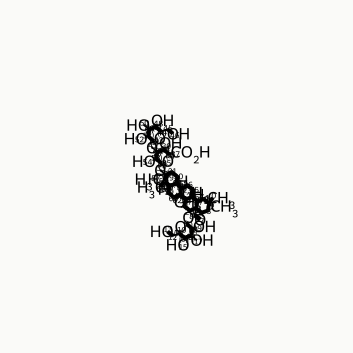 CC1(C)CC[C@]2(C(=O)O[C@@H]3O[C@H](CO)[C@@H](O)[C@H](O)[C@H]3O)CC[C@]3(C)C(=CC[C@@H]4[C@@]5(C)CC[C@H](O[C@@H]6O[C@H](C(=O)O)[C@@H](O)[C@H](O[C@@H]7O[C@H](CO)[C@H](O)[C@H](O)[C@H]7O)[C@H]6O)C(C)(C)[C@@H]5CC[C@]43C)[C@@H]2C1